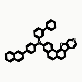 c1ccc(-c2cccc(N(c3ccc(-c4ccc5ccccc5c4)cc3)c3ccc4c(ccc5ccc6c7ccncc7oc6c54)c3)c2)cc1